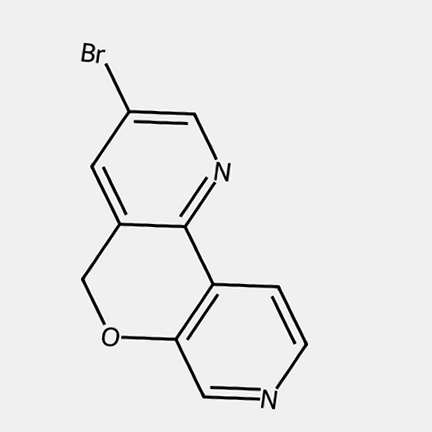 Brc1cnc2c(c1)COc1cnccc1-2